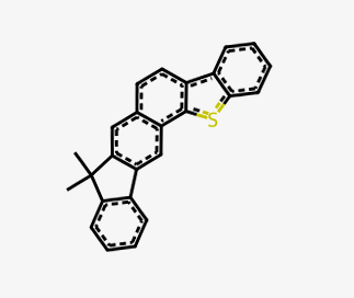 CC1(C)c2ccccc2-c2cc3c(ccc4c5ccccc5sc34)cc21